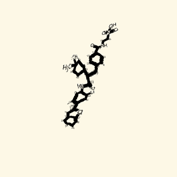 CC1(C)C=CC(C(Cc2ccc(C(=O)NCCS(=O)(=O)O)cc2)C(=O)Nc2ccc(-c3cc4ccccc4o3)cc2Cl)CC1